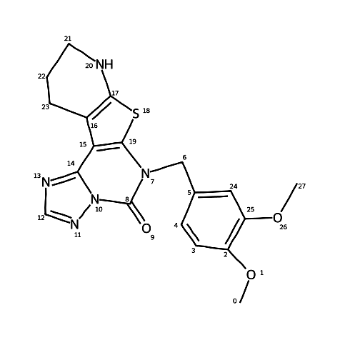 COc1ccc(Cn2c(=O)n3ncnc3c3c4c(sc32)NCCC4)cc1OC